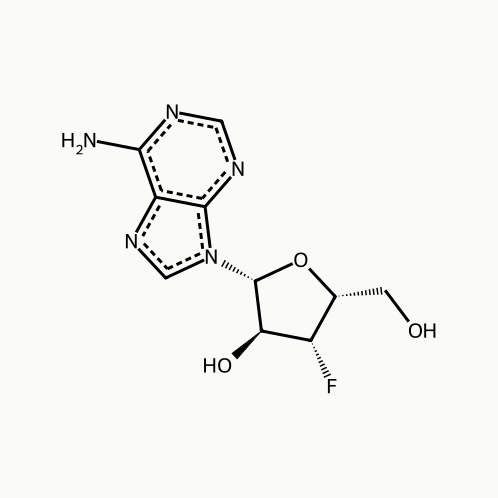 Nc1ncnc2c1ncn2[C@@H]1O[C@H](CO)[C@H](F)[C@H]1O